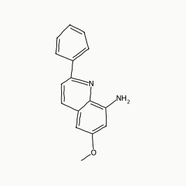 COc1cc(N)c2nc(-c3ccccc3)ccc2c1